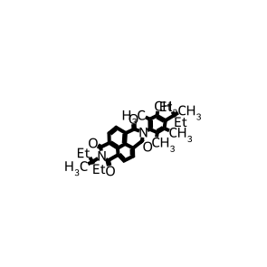 CCC(C)(CC)c1c(C)c(C)c(N2C(=O)c3ccc4c5c(ccc(c35)C2=O)C(=O)N(C(C)(CC)CC)C4=O)c(C)c1C